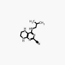 CC(C)CNc1nc(C#N)nc2c1NCCN2